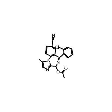 CC(=O)OC1N=C(c2ccccc2Cl)c2cc(C#N)ccc2-n2c(C)cnc21